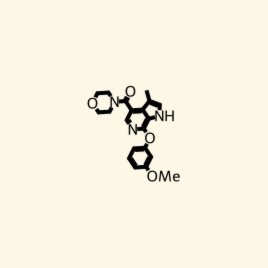 COc1cccc(Oc2ncc(C(=O)N3CCOCC3)c3c(C)c[nH]c23)c1